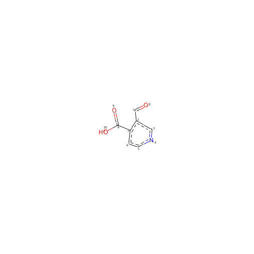 O=Cc1cnccc1C(=O)O